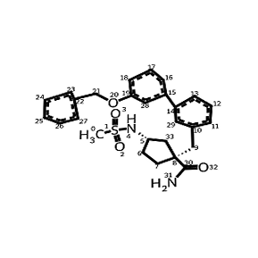 CS(=O)(=O)N[C@H]1CC[C@](Cc2cccc(-c3cccc(OCc4ccccc4)c3)c2)(C(N)=O)C1